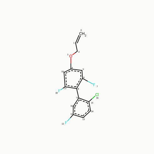 C=CCOc1cc(F)c(-c2cc(F)[c]cc2Cl)c(F)c1